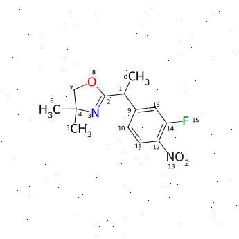 CC(C1=NC(C)(C)CO1)c1ccc([N+](=O)[O-])c(F)c1